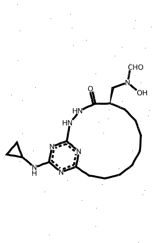 O=CN(O)C[C@H]1CCCCCCCCc2nc(nc(NC3CC3)n2)NNC1=O